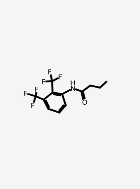 [CH2]CCC(=O)Nc1cccc(C(F)(F)F)c1C(F)(F)F